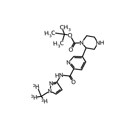 [2H]C([2H])([2H])n1ccc(NC(=O)c2ccc(C3CNCCN3C(=O)OC(C)(C)C)cn2)n1